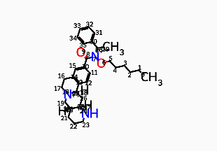 CCCCCCON(C(=O)c1ccc2c(c1)CCN1C[C@H]3CCCN[C@H]3C[C@H]21)[C@H](C)c1ccccc1